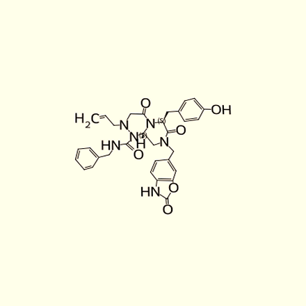 C=CCN1CC(=O)N2[C@@H](Cc3ccc(O)cc3)C(=O)N(Cc3ccc4[nH]c(=O)oc4c3)C[C@@H]2N1C(=O)NCc1ccccc1